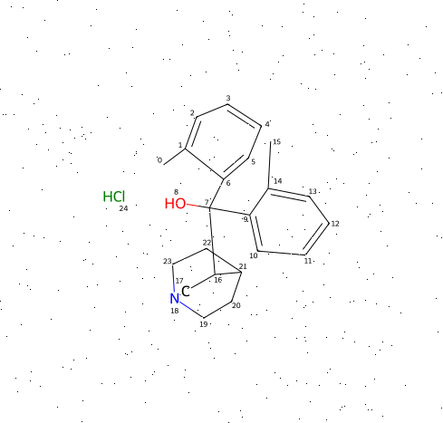 Cc1ccccc1C(O)(c1ccccc1C)C1CN2CCC1CC2.Cl